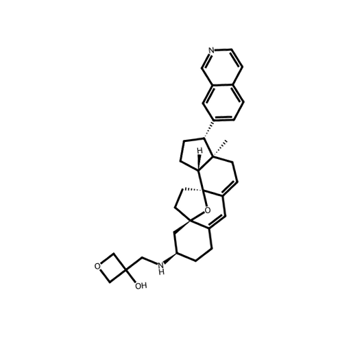 C[C@]12CC=C3C=C4CC[C@@H](NCC5(O)COC5)C[C@]45CC[C@]3(O5)[C@@H]1CC[C@@H]2c1ccc2ccncc2c1